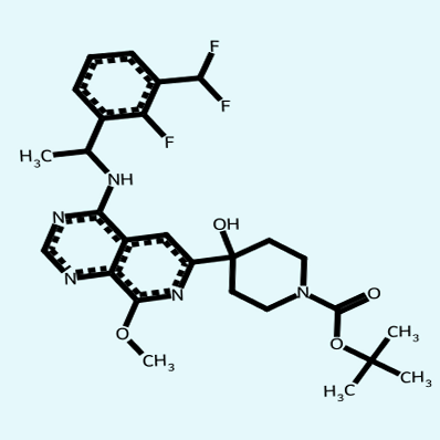 COc1nc(C2(O)CCN(C(=O)OC(C)(C)C)CC2)cc2c(NC(C)c3cccc(C(F)F)c3F)ncnc12